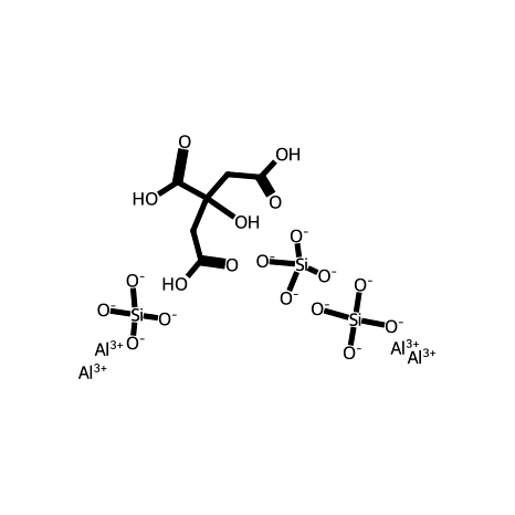 O=C(O)CC(O)(CC(=O)O)C(=O)O.[Al+3].[Al+3].[Al+3].[Al+3].[O-][Si]([O-])([O-])[O-].[O-][Si]([O-])([O-])[O-].[O-][Si]([O-])([O-])[O-]